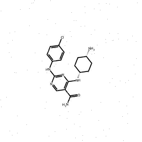 NC(=O)c1cnc(Nc2ccc(Cl)cc2)nc1N[C@H]1CC[C@@H](N)CC1